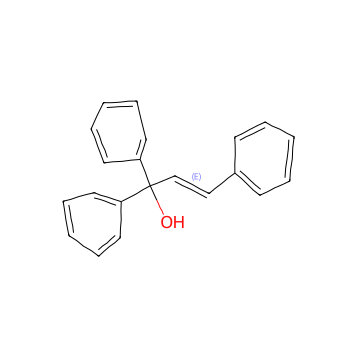 OC(/C=C/c1ccccc1)(c1ccccc1)c1ccccc1